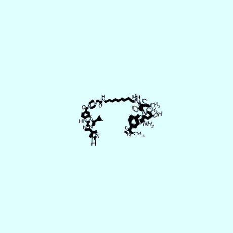 Cc1ncsc1-c1ccc(C[C@@]2(C(N)=O)C[C@@H](O)CN2C(=O)[C@@H](NCCCCCCCCCNC(=O)CN2CCN(C(=O)c3ccc(Nc4nc(C5CC5)cn5c(-c6cn[nH]c6)cnc45)c(F)c3)CC2)C(C)(C)C)cc1